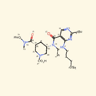 COCCCNc1nc(C(C)(C)C)ncc1C(=O)N(CC(C)C)[C@H]1C[C@@H](C(=O)N(C)OC)CN(C(=O)O)C1